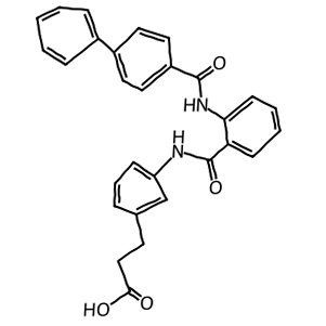 O=C(O)CCc1cccc(NC(=O)c2ccccc2NC(=O)c2ccc(-c3ccccc3)cc2)c1